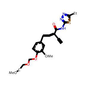 C#CC(=C=Cc1ccc(OCOCCOC)c(OC)c1)C(=O)Nc1nnc(CC)s1